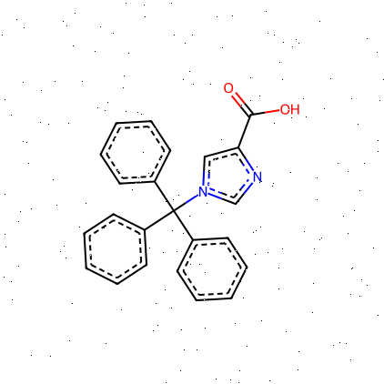 O=C(O)c1cn(C(c2ccccc2)(c2ccccc2)c2ccccc2)cn1